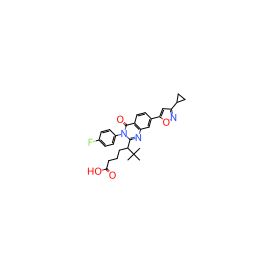 CC(C)(C)C(CCCC(=O)O)c1nc2cc(-c3cc(C4CC4)no3)ccc2c(=O)n1-c1ccc(F)cc1